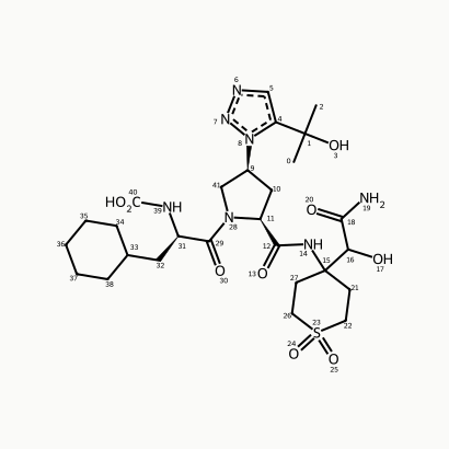 CC(C)(O)c1cnnn1[C@H]1C[C@@H](C(=O)NC2(C(O)C(N)=O)CCS(=O)(=O)CC2)N(C(=O)[C@@H](CC2CCCCC2)NC(=O)O)C1